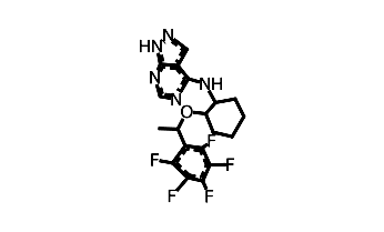 CC(OC1CCCCC1Nc1ncnc2[nH]ncc12)c1c(F)c(F)c(F)c(F)c1F